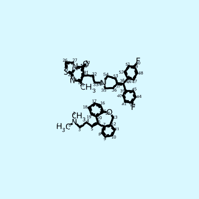 CN(C)CCC=C1c2ccccc2COc2ccccc21.Cc1nc2sccn2c(=O)c1CCN1CCC(=C(c2ccc(F)cc2)c2ccc(F)cc2)CC1